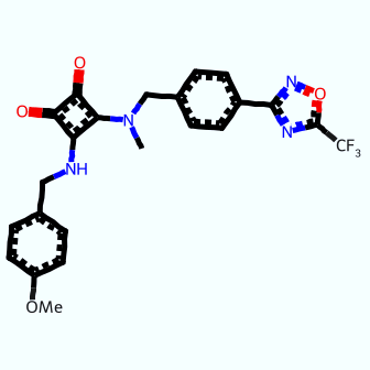 COc1ccc(CNc2c(N(C)Cc3ccc(-c4noc(C(F)(F)F)n4)cc3)c(=O)c2=O)cc1